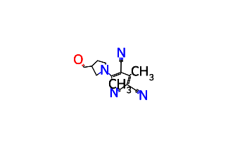 CC(=C(C#N)C#N)/C(C#N)=C(\C)N1CCC(C=O)C1